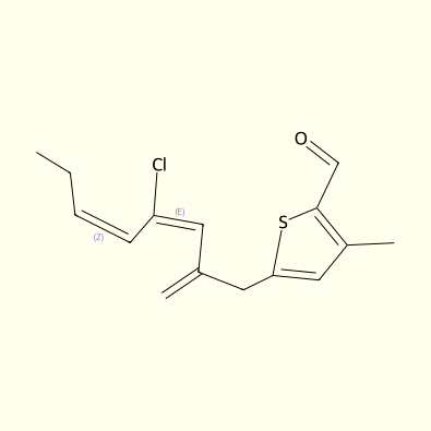 C=C(/C=C(Cl)\C=C/CC)Cc1cc(C)c(C=O)s1